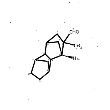 CC1(C=O)CC2C[C@H]1C1C3CCC(C3)C21